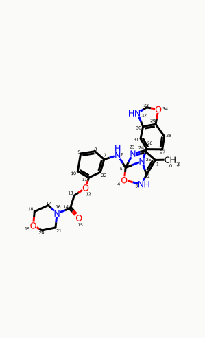 CC1=C2NOC(Nc3cccc(OCC(=O)N4CCOCC4)c3)(N=C1)N2c1ccc2c(c1)NCO2